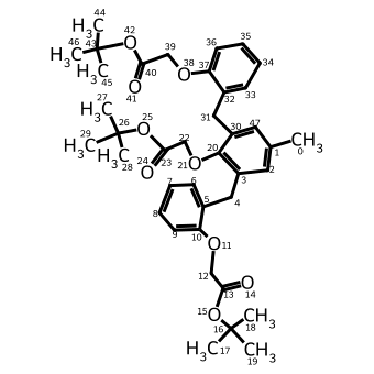 Cc1cc(Cc2ccccc2OCC(=O)OC(C)(C)C)c(OCC(=O)OC(C)(C)C)c(Cc2ccccc2OCC(=O)OC(C)(C)C)c1